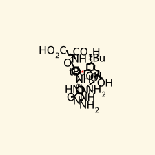 CC(C)(C)c1cc(CC(CO)OCCN)c(O)c(C(C)(C)C)c1.Nc1nc(=O)c2c([nH]1)NC[C@@H](CNc1ccc(C(=O)N[C@@H](CCC(=O)O)C(=O)O)cc1)N2